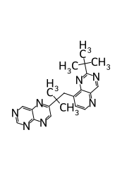 CC(C)(C)c1ncc2nccc(CC(C)(C)c3cnc4ncncc4n3)c2n1